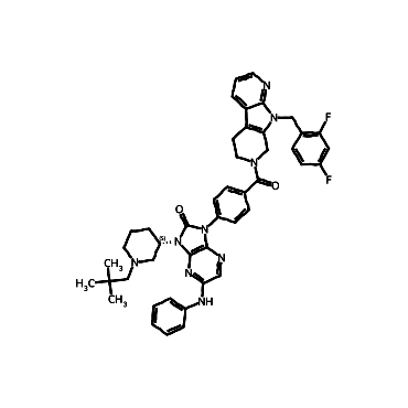 CC(C)(C)CN1CCC[C@H](n2c(=O)n(-c3ccc(C(=O)N4CCc5c(n(Cc6ccc(F)cc6F)c6ncccc56)C4)cc3)c3ncc(Nc4ccccc4)nc32)C1